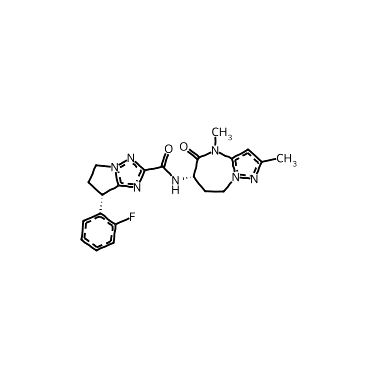 Cc1cc2n(n1)CC[C@H](NC(=O)c1nc3n(n1)CC[C@H]3c1ccccc1F)C(=O)N2C